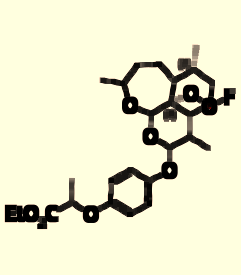 CCOC(=O)C(C)Oc1ccc(OC2OC3OC(C)CCC4[C@H](C)CCC(C2C)[C@@]34OOF)cc1